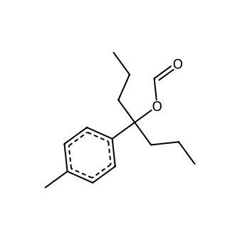 CCCC(CCC)(OC=O)c1ccc(C)cc1